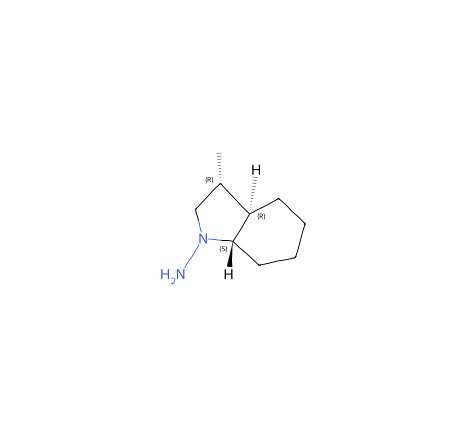 C[C@H]1CN(N)[C@H]2CCCC[C@H]12